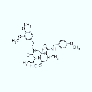 COc1ccc(CNC(=O)N2[C@H]3CN(CCc4ccc(OC)c(OC)c4)C(=O)[C@H](C(C)C)N3C(=O)CN2C)cc1